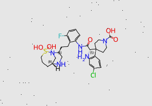 N[C@H](C(=O)Nc1cccc(F)c1CC[C@H]1CN[C@@H]2CCCS(O)(O)N1C2)C1(c2ccc(Cl)cc2)CCN(C(=O)O)CC1